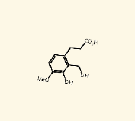 COc1ccc(CCC(=O)O)c(CO)c1O